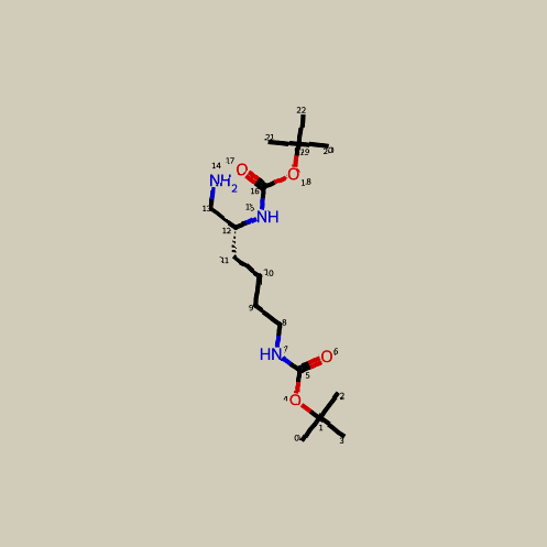 CC(C)(C)OC(=O)NCCCC[C@H](CN)NC(=O)OC(C)(C)C